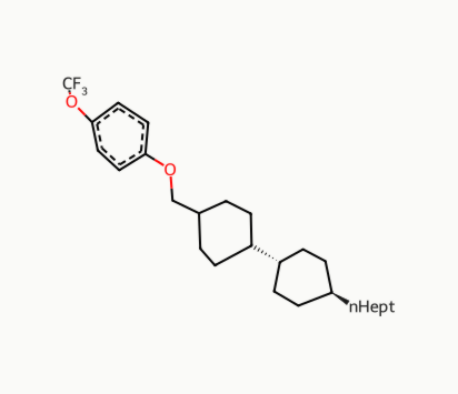 CCCCCCC[C@H]1CC[C@H](C2CCC(COc3ccc(OC(F)(F)F)cc3)CC2)CC1